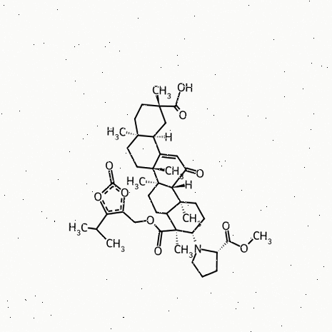 COC(=O)[C@@H]1CCCN1[C@H]1CC[C@@]2(C)C(CC[C@]3(C)[C@@H]2C(=O)C=C2[C@@H]4C[C@@](C)(C(=O)O)CC[C@]4(C)CC[C@]23C)[C@]1(C)C(=O)OCc1oc(=O)oc1C(C)C